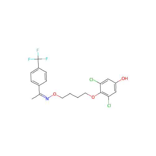 CC(=NOCCCCOc1c(Cl)cc(O)cc1Cl)c1ccc(C(F)(F)F)cc1